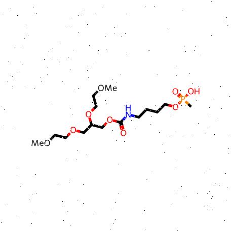 COCCOCC(COC(=O)NCCCCOP(C)(=O)O)OCCOC